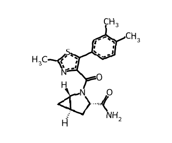 Cc1nc(C(=O)N2[C@H](C(N)=O)C[C@H]3C[C@@H]32)c(-c2ccc(C)c(C)c2)s1